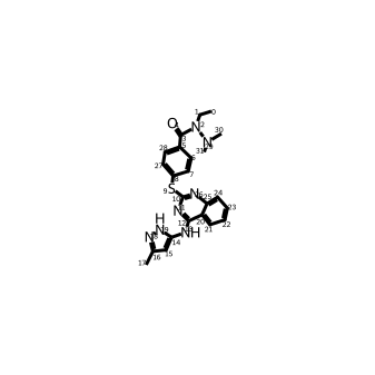 CCN(C(=O)c1ccc(Sc2nc(Nc3cc(C)n[nH]3)c3ccccc3n2)cc1)N(C)C